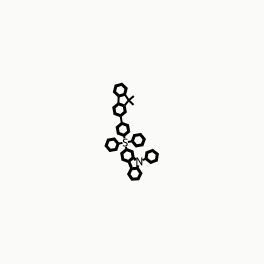 CC1(C)c2ccccc2-c2ccc(-c3ccc(S(c4ccccc4)(c4ccccc4)c4ccc5c6ccccc6n(-c6ccccc6)c5c4)cc3)cc21